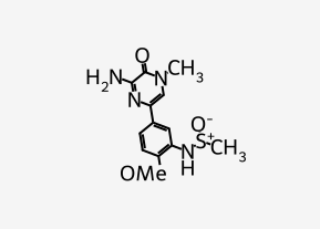 COc1ccc(-c2cn(C)c(=O)c(N)n2)cc1N[S+](C)[O-]